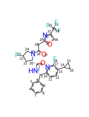 O=C(N[C@@H](c1ccccc1)c1ccc(C2CC2)c(F)n1)[C@@H]1C[C@@H](F)CN1C(=O)Cc1nc(C(F)(F)F)co1